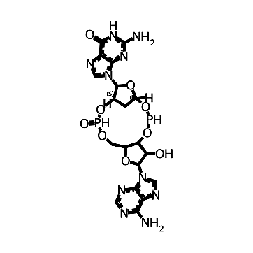 Nc1nc2c(ncn2C2O[C@H]3C[C@@H]2O[PH](=O)OCC2OC(n4cnc5c(N)ncnc54)C(O)C2OPO3)c(=O)[nH]1